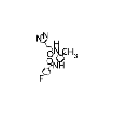 Cc1ccc(NC(=O)c2ccc(F)cc2)cc1NC(=O)C=Cc1cncnc1